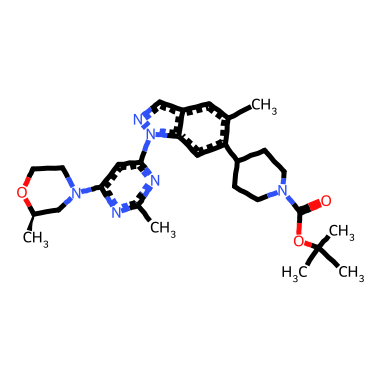 Cc1nc(N2CCO[C@H](C)C2)cc(-n2ncc3cc(C)c(C4CCN(C(=O)OC(C)(C)C)CC4)cc32)n1